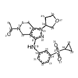 CC(=O)N1CCc2c(c(Nc3cccc(S(=O)(=O)C4CC4)c3)nn2C2CCOC2)C1